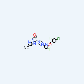 N#Cc1cnc2c(c1)nc(CN1CCN(c3ccc(F)c(OCc4ccc(Cl)cc4F)n3)CC1)n2C[C@@H]1CCO1